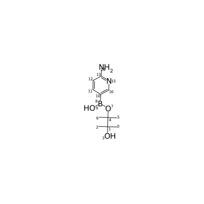 CC(C)(O)C(C)(C)OB(O)c1ccc(N)nc1